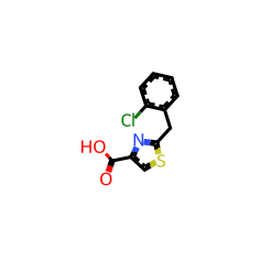 O=C(O)c1csc(Cc2ccccc2Cl)n1